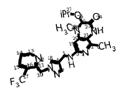 Cc1nc(NCc2cnn(Cc3ncccc3C(F)(F)F)c2)cc2c1NC(=O)C(OC(C)C)N2C